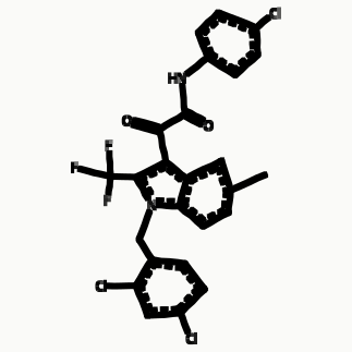 Cc1ccc2c(c1)c(C(=O)C(=O)Nc1ccc(Cl)cc1)c(C(F)(F)F)n2Cc1ccc(Cl)cc1Cl